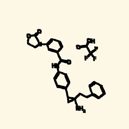 NC1(CCc2ccccc2)CC1c1ccc(NC(=O)c2cccc(N3CCOC3=O)c2)cc1.O=C(O)C(F)(F)F